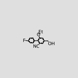 CCOc1cc(CO)cc(C#N)c1-c1ccc(F)cc1